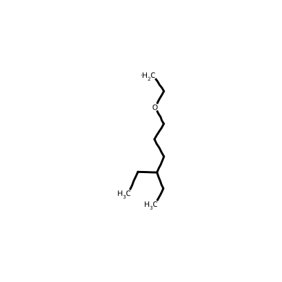 [CH2]COCCCC(CC)CC